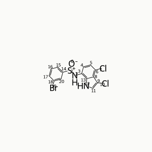 [O-][S+](Nc1ccc(Cl)c2c(Cl)c[nH]c12)c1cccc(Br)c1